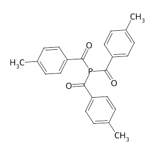 Cc1ccc(C(=O)P(C(=O)c2ccc(C)cc2)C(=O)c2ccc(C)cc2)cc1